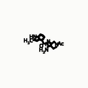 CC(=O)N1CCc2c(nn(C(=O)c3cccc4[nH]c(C)cc34)c2N)C1